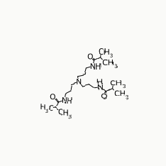 CC(C)C(=O)NCCCN(CCCNC(=O)C(C)C)CCCNC(=O)C(C)C